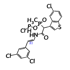 CP(=O)(OPCl)C(C(=O)N/C=C/c1cc(Cl)cc(Cl)c1)c1csc2ccc(Cl)cc12